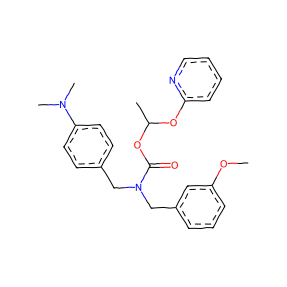 COc1cccc(CN(Cc2ccc(N(C)C)cc2)C(=O)OC(C)Oc2ccccn2)c1